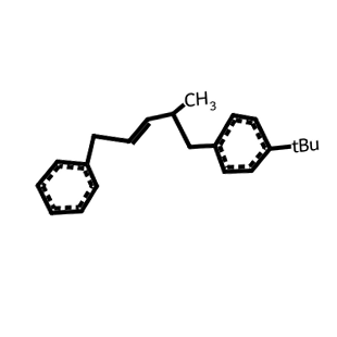 CC(C=CCc1ccccc1)Cc1ccc(C(C)(C)C)cc1